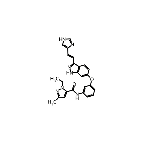 CCn1nc(C)cc1C(=O)Nc1cccc(Oc2ccc3c(/C=C/c4c[nH]cn4)n[nH]c3c2)c1